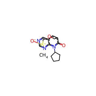 C.O=c1c2cc3cnc(nc3n1C1CCCC1)[S+]([O-])CCOC2